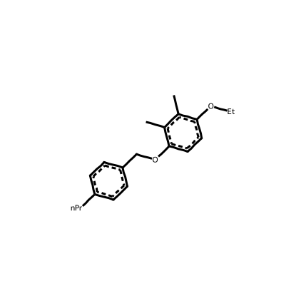 CCCc1ccc(COc2ccc(OCC)c(C)c2C)cc1